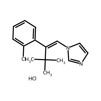 CC(C)(C)C(=Cn1ccnc1)c1ccccc1Cl.Cl